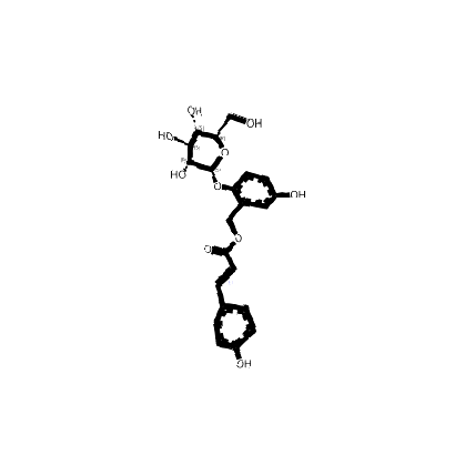 O=C(/C=C/c1ccc(O)cc1)OCc1cc(O)ccc1O[C@@H]1O[C@H](CO)[C@@H](O)[C@H](O)[C@H]1O